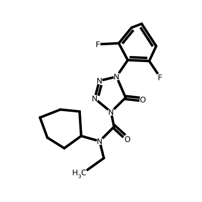 CCN(C(=O)n1nnn(-c2c(F)cccc2F)c1=O)C1CCCCC1